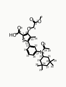 COC(=O)COc1c(C(=O)O)sc(-c2cccc(N(C(C)=O)C3CC(C)(C)CC(C)(C)C3)c2)c1C